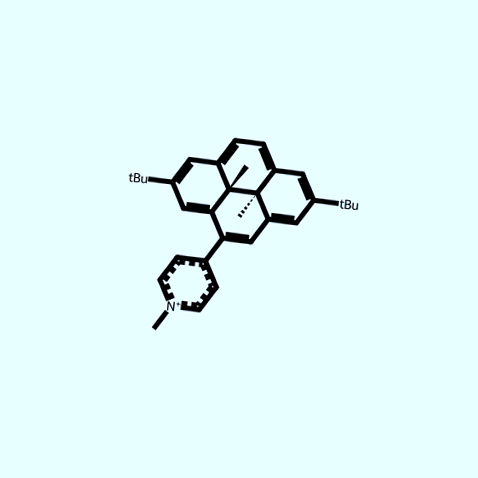 C[n+]1ccc(C2=CC3=CC(C(C)(C)C)=CC4=CC=C5C=C(C(C)(C)C)C=C2[C@@]5(C)[C@@]43C)cc1